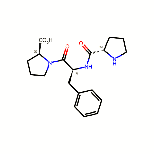 O=C(N[C@@H](Cc1ccccc1)C(=O)N1CCC[C@H]1C(=O)O)[C@@H]1CCCN1